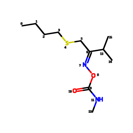 CCCCSCC(=NOC(=O)NC)C(C)C